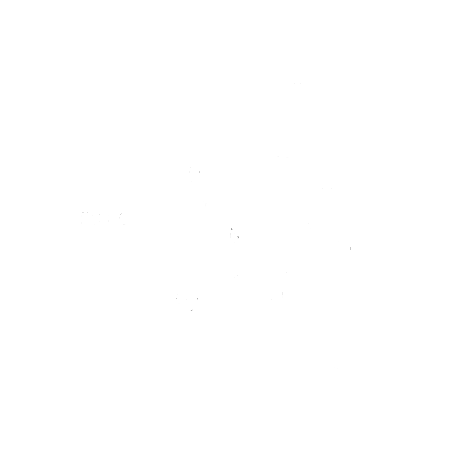 CCOC(=O)CC(=O)N(CP(=O)(Oc1ccccc1)Oc1ccccc1)C(CC)C(=O)O